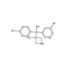 CC(C)c1ccc(C(O)(c2cncc(Br)c2)C2(C)CNC2)cc1